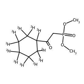 [2H]C1([2H])C([2H])([2H])C([2H])([2H])C([2H])(C(=O)CP(=O)(OC)OC)C([2H])([2H])C1([2H])[2H]